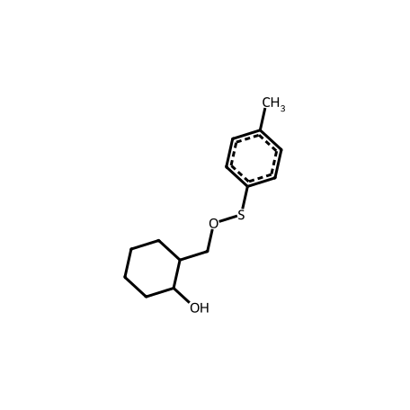 Cc1ccc(SOCC2CCCCC2O)cc1